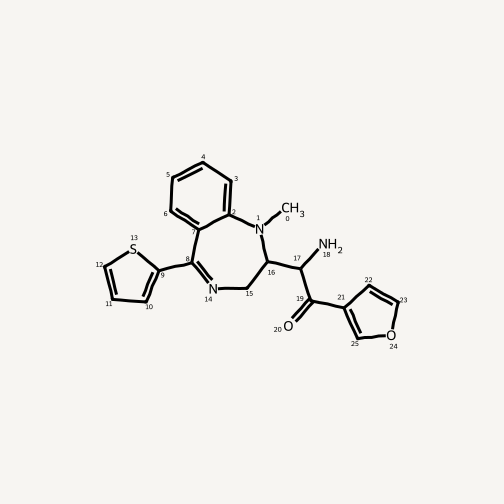 CN1c2ccccc2C(c2cccs2)=NCC1C(N)C(=O)c1ccoc1